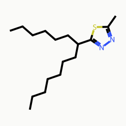 CCCCCCCC(CCCCCC)c1nnc(C)s1